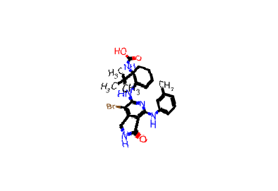 Cc1cccc(Nc2nc(NC3CCCCC3(NC(=O)O)C(C)(C)C)c(Br)c3c2C(=O)NC3)c1